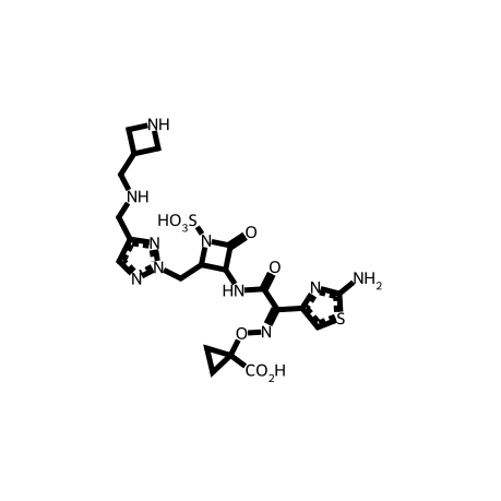 Nc1nc(/C(=N/OC2(C(=O)O)CC2)C(=O)NC2C(=O)N(S(=O)(=O)O)C2Cn2ncc(CNCC3CNC3)n2)cs1